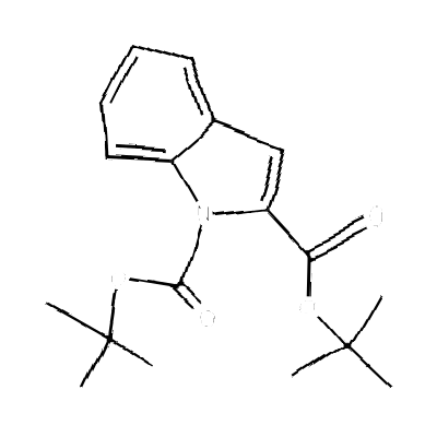 CC(C)(C)OC(=O)c1cc2ccccc2n1C(=O)OC(C)(C)C